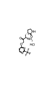 Cl.NC(C[C@@H]1CCNC1=O)C(=O)COc1ccnc(C(F)(F)F)n1